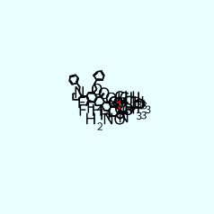 CC(C)(C)[Si](C)(C)O[C@@]12C(=O)c3c(OCc4ccccc4)noc3[C@@H](N)[C@@H]1C[C@@H]1Cc3c(c(OCc4ccccc4)cc(C4CCCN4Cc4ccccc4)c3C(F)(F)F)C(=O)C1=C2O